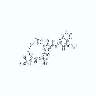 CC(C)COC(=O)N[C@H]1CCCCCC2(CC2)CC(C(=O)C(=O)NCC(=O)N[C@H](C(=O)O)c2ccccc2)NC(=O)[C@H](CC(C)C)NC1=O